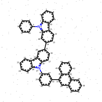 c1ccc(-n2c3ccccc3c3ccc(-c4ccc5c(c4)c4ccccc4n5-c4cccc(-c5cc6ccccc6c6ccccc56)c4)cc32)cc1